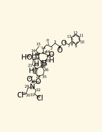 C[C@H](CCC(=O)OCc1ccccc1)[C@H]1CC[C@H]2[C@@H]3[C@H](O)C[C@@H]4C[C@H](OC(=O)N(CCCl)CCCl)CC[C@]4(C)[C@H]3C[C@H](O)[C@]12C